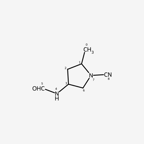 CC1CC(NC=O)CN1C#N